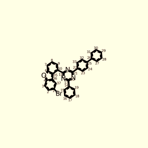 Brc1ccc2oc3cccc(-c4nc(-c5ccccc5)nc(-c5ccc(-c6ccccc6)cc5)n4)c3c2c1